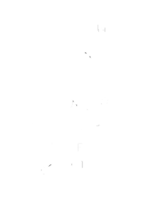 C[C@H](O)c1cccc2c1C(F)(F)C(=O)N2Cc1ccc(F)c(Br)n1